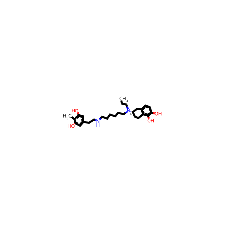 CCCN(CCCCCCNCCc1cc(O)c(C)c(O)c1)[C@H]1CCc2c(ccc(O)c2O)C1